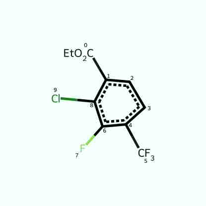 CCOC(=O)c1ccc(C(F)(F)F)c(F)c1Cl